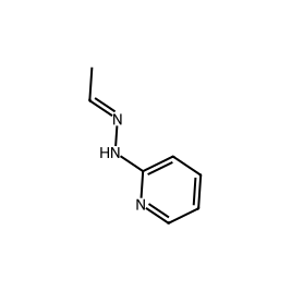 C/C=N/Nc1ccccn1